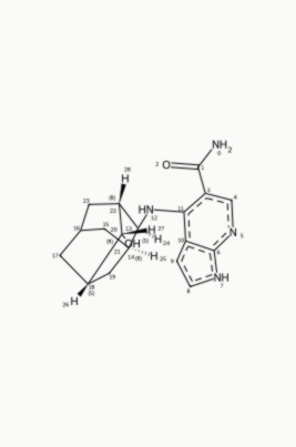 NC(=O)c1cnc2[nH]ccc2c1N[C@H]1[C@@H]2CC3C[C@@H](C2)[C@@H](O)[C@@H]1C3